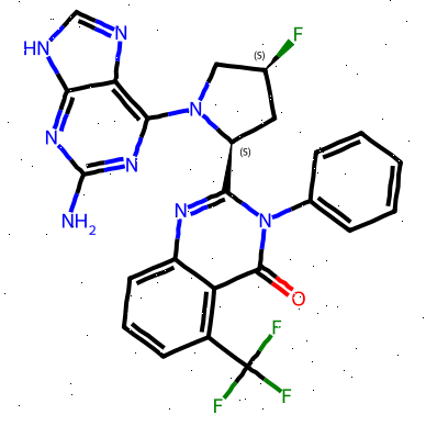 Nc1nc(N2C[C@@H](F)C[C@H]2c2nc3cccc(C(F)(F)F)c3c(=O)n2-c2ccccc2)c2nc[nH]c2n1